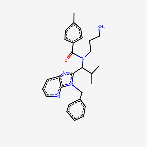 Cc1ccc(C(=O)N(CCCN)C(c2nc3cccnc3n2Cc2ccccc2)C(C)C)cc1